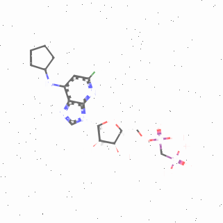 O=P(O)(O)CP(=O)(O)OC[C@H]1O[C@@H](n2cnc3c(NC4CCCC4)cc(Cl)nc32)[C@H](O)[C@@H]1O